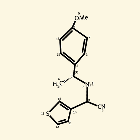 COc1ccc([C@@H](C)NC(C#N)c2ccsc2)cc1